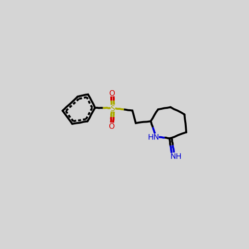 N=C1CCCCC(CCS(=O)(=O)c2ccccc2)N1